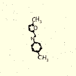 Cc1ccc(N=Cc2ccc(C)o2)cc1